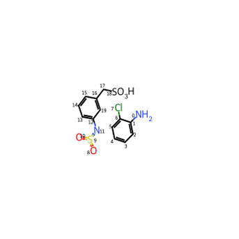 Nc1ccccc1Cl.O=S(=O)=Nc1cccc(CS(=O)(=O)O)c1